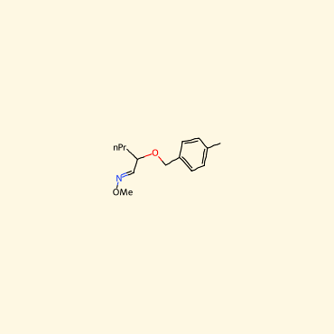 CCCC(C=NOC)OCc1ccc(C)cc1